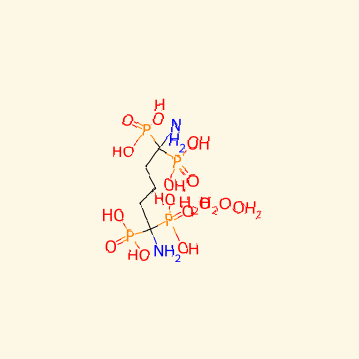 NC(CCCC(N)(P(=O)(O)O)P(=O)(O)O)(P(=O)(O)O)P(=O)(O)O.O.O.O